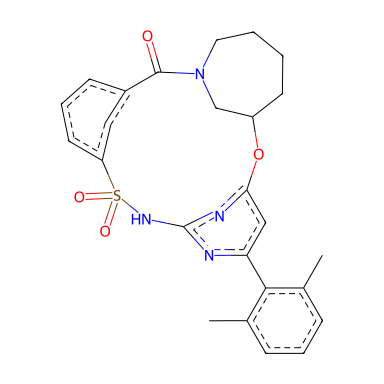 Cc1cccc(C)c1-c1cc2nc(n1)NS(=O)(=O)c1cccc(c1)C(=O)N1CCCCC(C1)O2